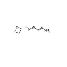 NN=CN=NC[C@@H]1CCO1